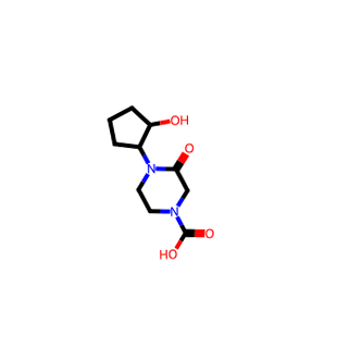 O=C(O)N1CCN(C2CCCC2O)C(=O)C1